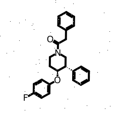 O=C(Cc1ccccc1)N1CC[C@H](Oc2ccc(F)cc2)[C@@H](c2ccccc2)C1